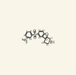 CN(C)c1cccc(S(=O)(=O)c2ccc3oc4c(c3c2)CCNC4)c1